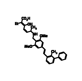 CC/C(C(=O)O)=C(O)\C=C/C(C)NCc1c(OC)cc(/C=C/c2cccc(-c3ccccc3)c2C)cc1OC